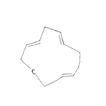 C1=C/CC/C=C/CCC/C=C/C/1